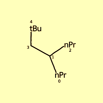 CCCC(CCC)CC(C)(C)C